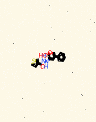 O=C(NNC1=CC(c2ccccc2)=COC1O)c1ccsc1